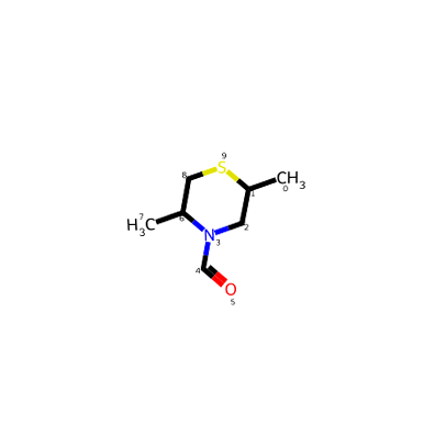 CC1CN(C=O)C(C)CS1